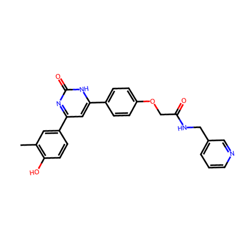 Cc1cc(-c2cc(-c3ccc(OCC(=O)NCc4cccnc4)cc3)[nH]c(=O)n2)ccc1O